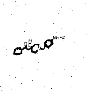 CC(=O)Nc1ccc(CN2CCC(O)(CC(=O)c3ccccc3)CC2)cc1